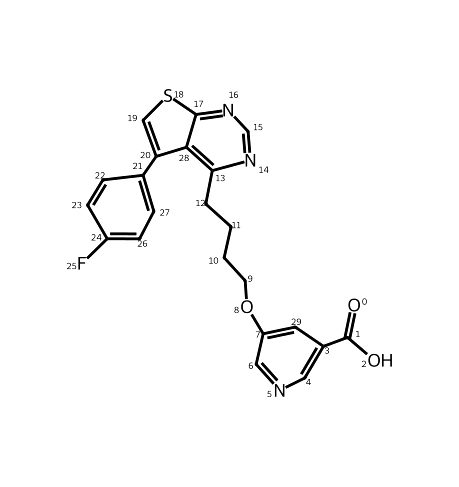 O=C(O)c1cncc(OCCCCc2ncnc3scc(-c4ccc(F)cc4)c23)c1